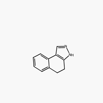 c1ccc2c(c1)CCc1[nH]ncc1-2